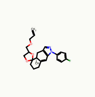 C=CCOCC1COC2(CCCC3=Cc4c(cnn4-c4ccc(F)cc4)C[C@@]32C)O1